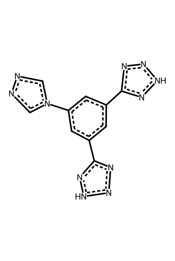 c1c(-c2nn[nH]n2)cc(-n2cnnc2)cc1-c1nn[nH]n1